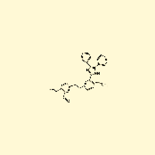 CCc1ccc(CCc2ccc(CC)c(-c3nc(-c4ccccc4)c(-c4ccccc4)[nH]3)c2)cc1C=O